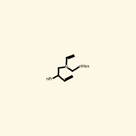 C=CC(CCC)CN(C=C)CCCCCCC